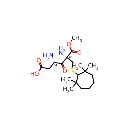 COC(=O)[C@@](N)(CSC1C(C)(C)CCCCC1(C)C)C(=O)[C@@H](N)CC(=O)O